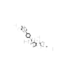 CCN1CCC(Nc2c(Cl)cnc3[nH]c(-c4ccc(N5CCN(C)C(=O)C5)cc4)nc23)CC1